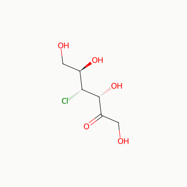 O=C(CO)[C@@H](O)[C@H](Cl)[C@H](O)CO